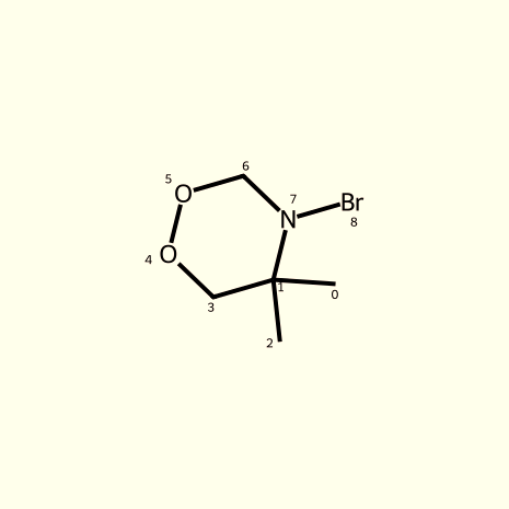 CC1(C)COOCN1Br